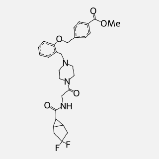 COC(=O)c1ccc(COc2ccccc2CN2CCN(C(=O)CNC(=O)C3C4CC(F)(F)CC43)CC2)cc1